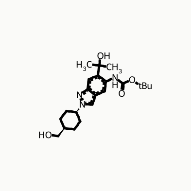 CC(C)(C)OC(=O)Nc1cc2cn([C@H]3CC[C@H](CO)CC3)nc2cc1C(C)(C)O